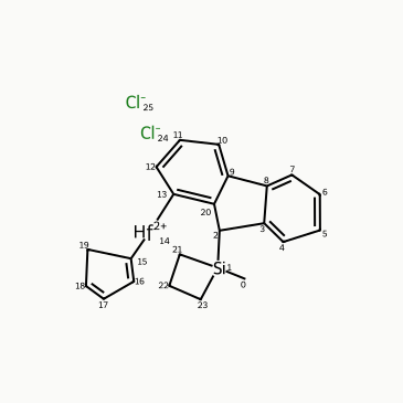 C[Si]1(C2c3ccccc3-c3ccc[c]([Hf+2][C]4=CC=CC4)c32)CCC1.[Cl-].[Cl-]